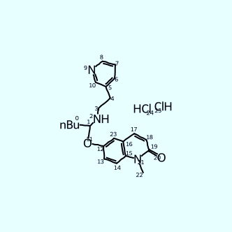 CCCCC(NCCc1cccnc1)Oc1ccc2c(ccc(=O)n2C)c1.Cl.Cl